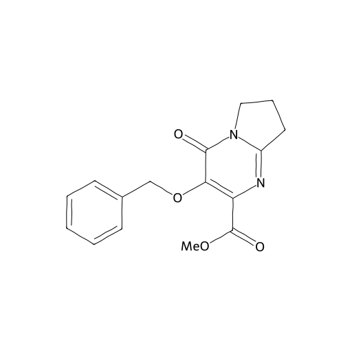 COC(=O)c1nc2n(c(=O)c1OCc1ccccc1)CCC2